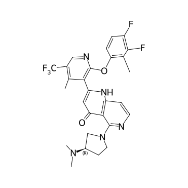 Cc1c(Oc2ncc(C(F)(F)F)c(C)c2-c2cc(=O)c3c(N4CC[C@@H](N(C)C)C4)nccc3[nH]2)ccc(F)c1F